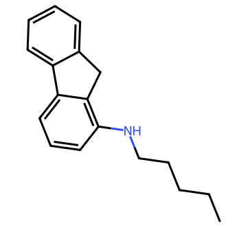 CCCCCNc1cccc2c1Cc1ccccc1-2